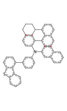 c1cc(-c2cccc3sc4ccccc4c23)cc(N(c2ccc3ccccc3c2)c2ccccc2-c2cccc3cccc(C4CCCCC4)c23)c1